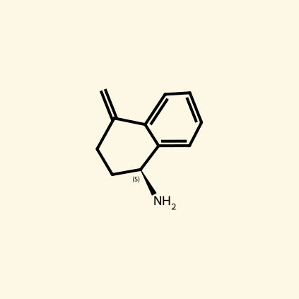 C=C1CC[C@H](N)c2ccccc21